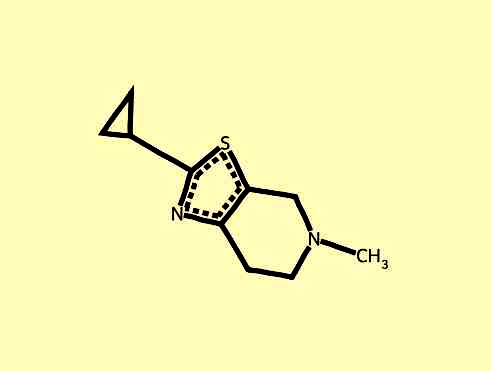 CN1CCc2nc(C3CC3)sc2C1